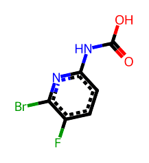 O=C(O)Nc1ccc(F)c(Br)n1